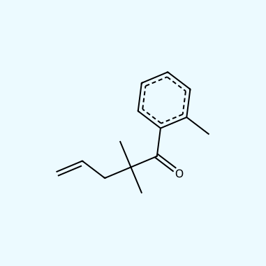 C=CCC(C)(C)C(=O)c1ccccc1C